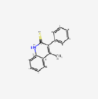 Cc1c(-c2ccccc2)c(=S)[nH]c2ccccc12